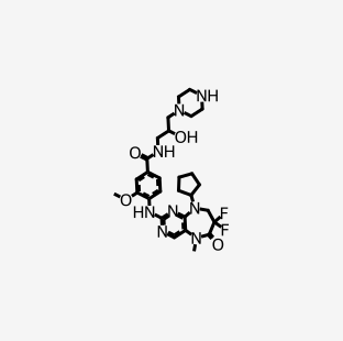 COc1cc(C(=O)NCC(O)CN2CCNCC2)ccc1Nc1ncc2c(n1)N(C1CCCC1)CC(F)(F)C(=O)N2C